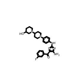 Nc1nc(Nc2ccc(N3CCC(N4CCCC(O)C4)CC3)cc2)sc1C(=O)c1cccc(F)c1